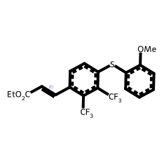 CCOC(=O)/C=C/c1ccc(Sc2ccccc2OC)c(C(F)(F)F)c1C(F)(F)F